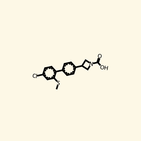 CSc1cc(Cl)ccc1-c1ccc(C2CN(C(=O)O)C2)cc1